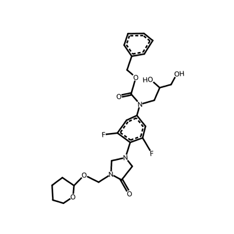 O=C1CN(c2c(F)cc(N(CC(O)CO)C(=O)OCc3ccccc3)cc2F)CN1COC1CCCCO1